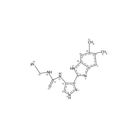 Cc1cc2nc(-c3n[nH]cc3NC(=O)NCC(C)C)[nH]c2cc1C